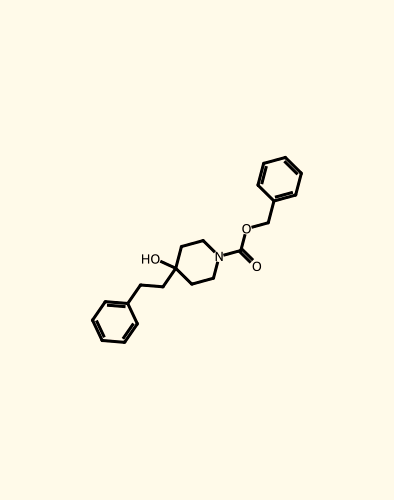 O=C(OCc1ccccc1)N1CCC(O)(CCc2ccccc2)CC1